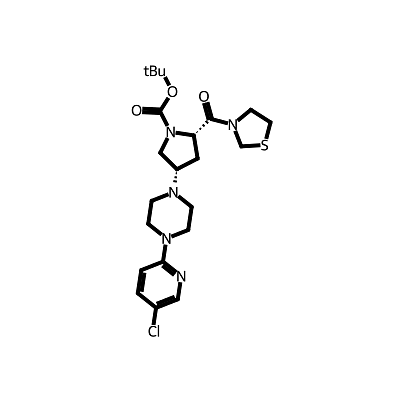 CC(C)(C)OC(=O)N1C[C@@H](N2CCN(c3ccc(Cl)cn3)CC2)C[C@H]1C(=O)N1CCSC1